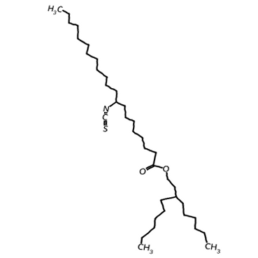 CCCCCCCCCCCCC(CCCCCCCC(=O)OCCC(CCCCCC)CCCCCC)N=C=S